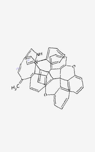 C=C1/C=C\C=C/N(c2ccccc2)c2c1cccc2-c1cccc2c1C1(C3=C(C=C(c4ccc[nH]4)C3)Oc3ccccc31)c1ccccc1O2